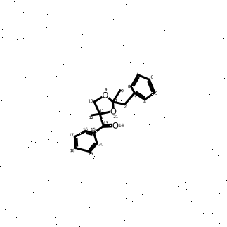 CC1(Cc2ccccc2)OCC(C)(C(=O)c2ccccc2)O1